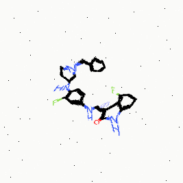 O=C1Nc2cccc(F)c2/C1=C/Nc1ccc(NC2CCN(Cc3ccccc3)C2)c(F)c1